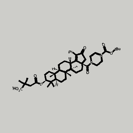 CC(C)C1=C2[C@H]3CC[C@@H]4[C@@]5(C)CC[C@H](OC(=O)CC(C)(C)C(=O)O)C(C)(C)[C@@H]5CC[C@@]4(C)[C@]3(C)CC[C@@]2(C(=O)N2CCN(C(=O)OC(C)(C)C)CC2)CC1=O